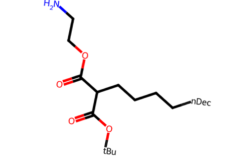 CCCCCCCCCCCCCCC(C(=O)OCCN)C(=O)OC(C)(C)C